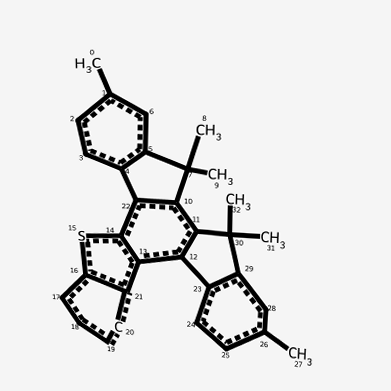 Cc1ccc2c(c1)C(C)(C)c1c3c(c4c(sc5ccccc54)c1-2)-c1ccc(C)cc1C3(C)C